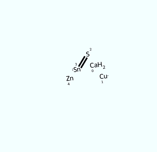 [CaH2].[Cu].[S]=[Sn].[Zn]